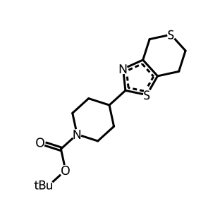 CC(C)(C)OC(=O)N1CCC(c2nc3c(s2)CCSC3)CC1